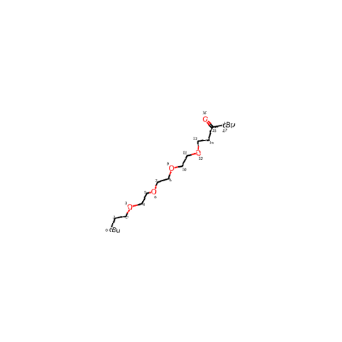 CC(C)(C)CCOCCOCCOCCOCCC(=O)C(C)(C)C